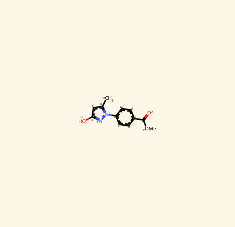 COC(=O)c1ccc(-n2nc(O)cc2C)cc1